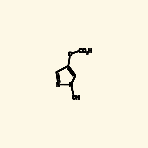 O=C(O)Oc1cnn(O)c1